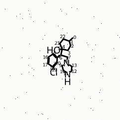 CC1CCC(O)(C(CN2CCNCC2)c2cccc(Cl)c2)CC1